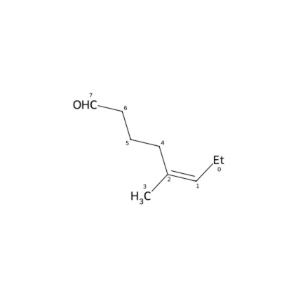 CCC=C(C)CCCC=O